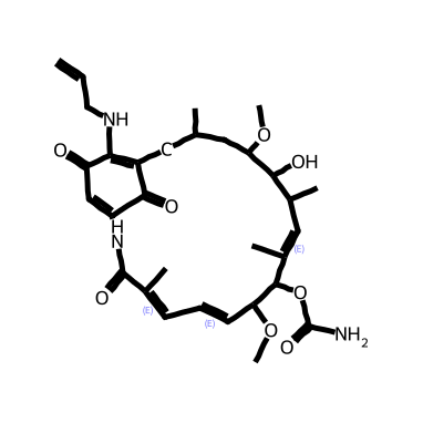 C=CCNC1=C2CC(C)CC(OC)C(O)C(C)/C=C(\C)C(OC(N)=O)C(OC)/C=C/C=C(\C)C(=O)NC(=CC1=O)C2=O